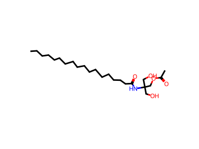 CCCCCCCCCCCCCCCCCC(=O)NC(CO)(CO)COC(C)=O